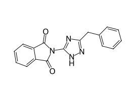 O=C1c2ccccc2C(=O)N1c1nc(Cc2ccccc2)n[nH]1